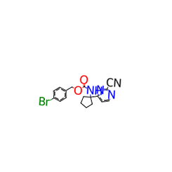 N#Cc1nccc(C2(NC(=O)OCc3ccc(Br)cc3)CCCC2)n1